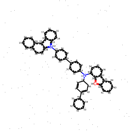 C1=CC(N(c2ccc(-c3ccc(-n4c5ccccc5c5c6ccccc6ccc54)cc3)cc2)c2cccc3c2oc2ccccc23)CC=C1c1ccccc1